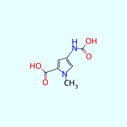 Cn1cc(NC(=O)O)cc1C(=O)O